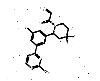 C=CC(=O)N1CCC(F)(F)CC1c1cc(Cl)cc(-c2ccnc(C)n2)c1